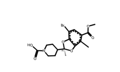 COC(=O)c1cc(Br)c2c(c1C)O[C@@](C)(C1CCN(C(=O)O)CC1)O2